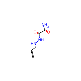 C=CCNNC(=O)C(N)=O